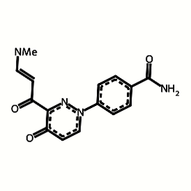 CNC=CC(=O)c1nn(-c2ccc(C(N)=O)cc2)ccc1=O